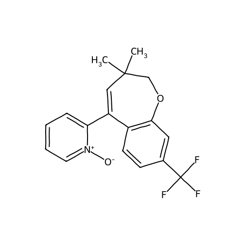 CC1(C)C=C(c2cccc[n+]2[O-])c2ccc(C(F)(F)F)cc2OC1